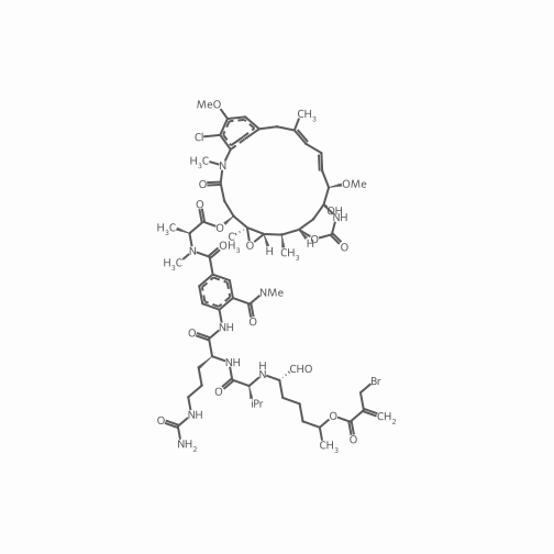 C=C(CBr)C(=O)OC(C)CCC[C@@H](C=O)N[C@H](C(=O)N[C@@H](CCCNC(N)=O)C(=O)Nc1ccc(C(=O)N(C)[C@@H](C)C(=O)O[C@H]2CC(=O)N(C)c3cc(cc(OC)c3Cl)C/C(C)=C/C=C/[C@@H](OC)[C@@]3(O)C[C@H](OC(=O)N3)[C@@H](C)[C@@H]3O[C@@]23C)cc1C(=O)NC)C(C)C